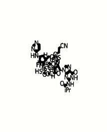 CC(C)C(=O)Nc1nc2c(ncn2[C@@H]2O[C@@H]3CO[P@](=O)(S)O[C@@H]4[C@@H](CO[P@@](=S)(OCCC#N)O[C@@H]2[C@@H]3O[Si](C)(C)C(C)(C)C)C[C@@H](Nc2ccncn2)[C@H]4F)c(=O)[nH]1